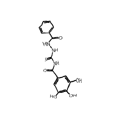 O=C(NNC(=S)NC(=O)c1cc(O)c(O)c(O)c1)c1ccccc1